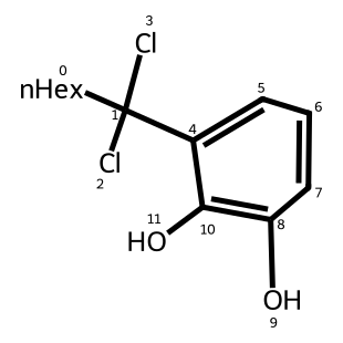 CCCCCCC(Cl)(Cl)c1cccc(O)c1O